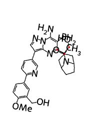 Bc1c(C2(C)CC3CCC(C2)N3C(=O)CO)nc2c(-c3ccc(-c4ccc(OC)c(CO)c4)nc3)cnn2c1N